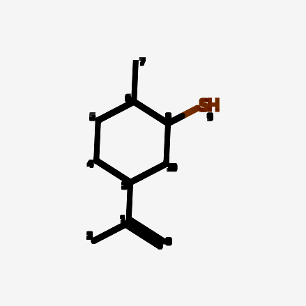 C=C(C)C1CCC(C)C(S)C1